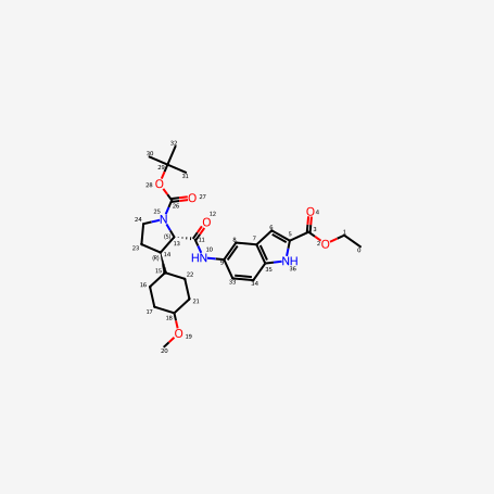 CCOC(=O)c1cc2cc(NC(=O)[C@@H]3[C@@H](C4CCC(OC)CC4)CCN3C(=O)OC(C)(C)C)ccc2[nH]1